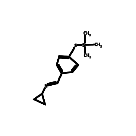 C[Si](C)(C)Sc1ccc(/C=N/C2CC2)cc1